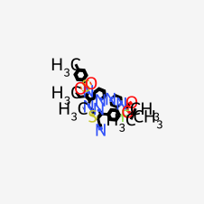 CCc1c(N(C)c2nc(-c3ccc(F)cc3)c(C#N)s2)c2nc(N3CCN(C(=O)OC(C)(C)C)CC3)ccc2n1S(=O)(=O)c1ccc(C)cc1